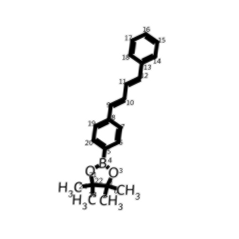 CC1(C)OB(c2ccc(/C=C/C=C/c3ccccc3)cc2)OC1(C)C